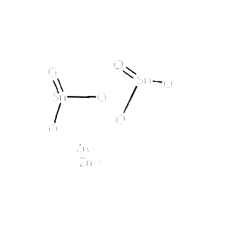 [O]=[Sn]([O-])[O-].[O]=[Sn]([O-])[O-].[Zn+2].[Zn+2]